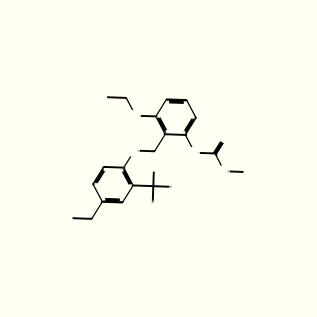 CCOc1cccc(OC(=O)OC)c1COc1ccc(CC)cc1C(F)(F)F